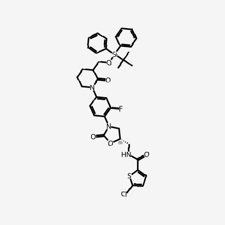 CC(C)(C)[Si](OCC1CCCN(c2ccc(N3C[C@H](CNC(=O)c4ccc(Cl)s4)OC3=O)c(F)c2)C1=O)(c1ccccc1)c1ccccc1